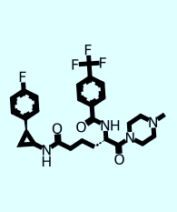 CN1CCN(C(=O)[C@H](CCCC(=O)NC2C[C@H]2c2ccc(F)cc2)NC(=O)c2ccc(C(F)(F)F)cc2)CC1